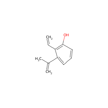 C=Cc1c(O)cccc1C(=C)C